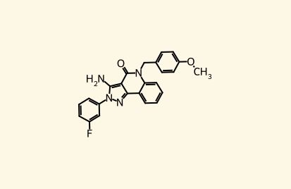 COc1ccc(Cn2c(=O)c3c(N)n(-c4cccc(F)c4)nc3c3ccccc32)cc1